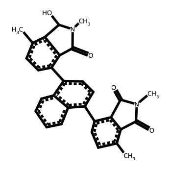 Cc1ccc(-c2ccc(-c3ccc(C)c4c3C(=O)N(C)C4O)c3ccccc23)c2c1C(=O)N(C)C2=O